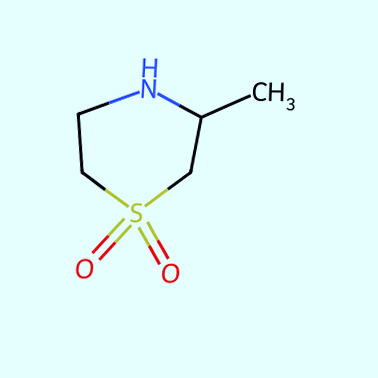 CC1CS(=O)(=O)CCN1